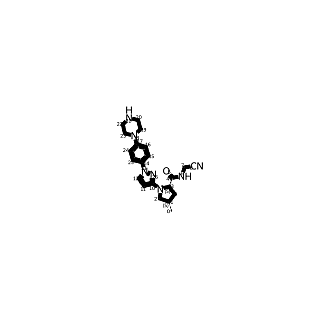 C[C@H]1C[C@@H](C(=O)NCC#N)N(c2ccn(-c3ccc(N4CCNCC4)cc3)n2)C1